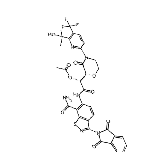 CC(=O)O[C@@H](C(=O)Nc1ccc2c(N3C(=O)c4ccccc4C3=O)nsc2c1C(N)=O)[C@H]1OCCN(c2ccc(C(F)(F)F)c(C(C)(C)O)n2)C1=O